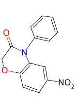 O=C1COc2ccc([N+](=O)[O-])cc2N1c1ccccc1